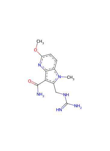 COc1ccc2c(n1)c(C(N)=O)c(CNC(=N)N)n2C